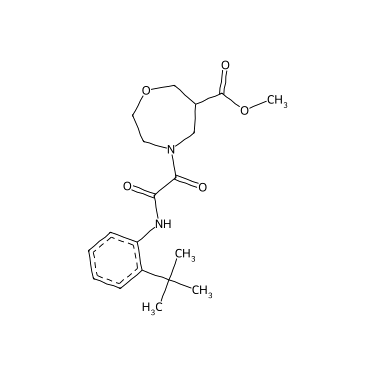 COC(=O)C1COCCN(C(=O)C(=O)Nc2ccccc2C(C)(C)C)C1